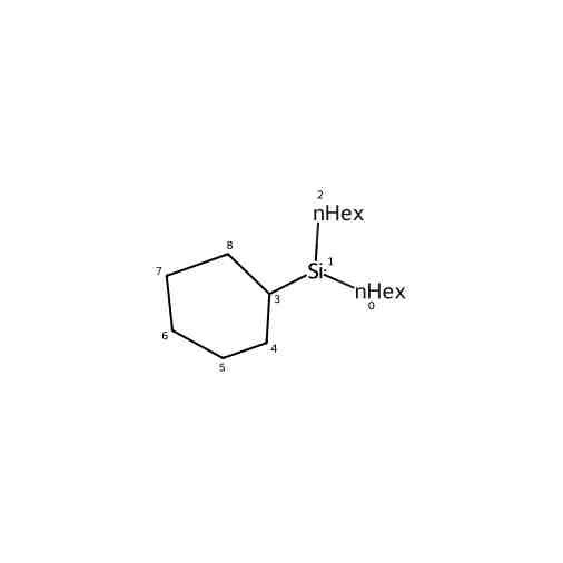 CCCCCC[Si](CCCCCC)C1CCCCC1